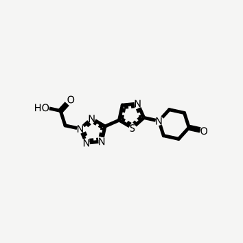 O=C(O)Cn1nnc(-c2cnc(N3CCC(=O)CC3)s2)n1